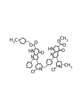 COC(=O)c1c[nH]c2nc(-c3ccc(Cc4cc(-c5cc6c(=O)cc(C(=O)OCc7ccc(C)cc7)[nH]c6nc5-c5ccccc5)cc(Cl)n4)cc3)c(-c3cc(C)nc(Cl)c3)cc2c1=O